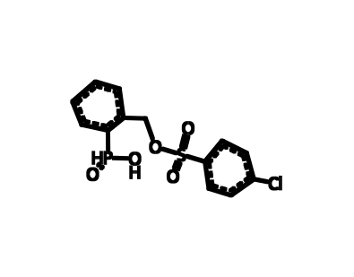 O=[PH](O)c1ccccc1COS(=O)(=O)c1ccc(Cl)cc1